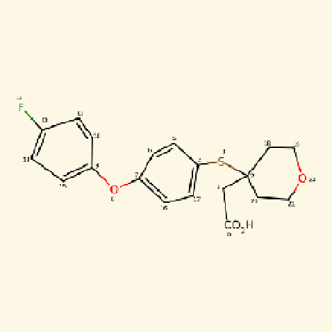 O=C(O)CC1(Sc2ccc(Oc3ccc(F)cc3)cc2)CCOCC1